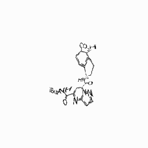 CC[C@H](C)NC(=O)c1cc(C(=O)N[C@H]2CCc3c2ccc(C(=O)O)c3C)n2nccc2n1